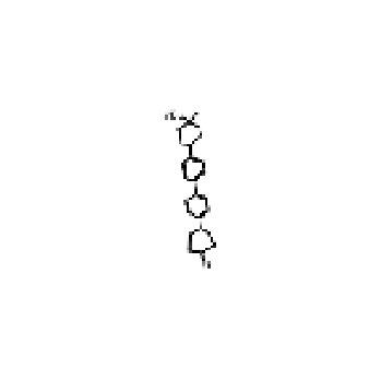 CCCCC1(C)CCC(c2ccc(-c3ccc(C4CCC(CC)CC4)cc3)cc2)CC1